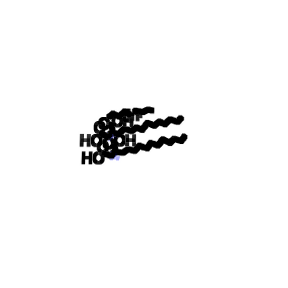 CCCCCCCCCCCC/C(=C/C(=O)O)C(=O)O.CCCCCCCCCCCC/C(=C/C(=O)O)C(=O)O.CCC[CH2][Sn][CH2]CCC